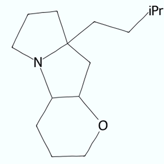 CC(C)CCC12CCCN1C1CCCOC1C2